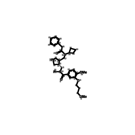 COCCCOc1cc(C(=O)N(C[C@@H]2CNC[C@H]2CN(C(=O)Cc2ccccc2)C2CCC2)C(C)C)ccc1OC